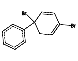 BrC1=CCC(Br)(c2ccccc2)C=C1